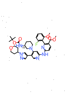 COC(=O)c1ccc(Nc2cc(N3CCC[C@H](NC(=O)OC(C)(C)C)C3)c(-c3cnn(C4CCOCC4)c3)cn2)nc1-c1c(F)cccc1OC